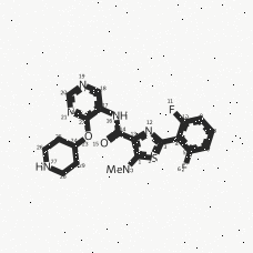 CNc1sc(-c2c(F)cccc2F)nc1C(=O)Nc1cncnc1OC1CCNCC1